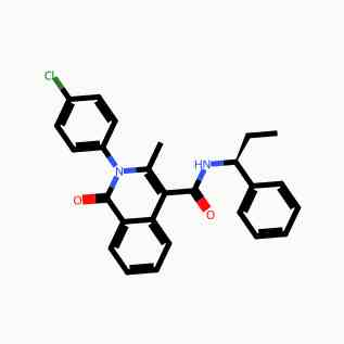 CC[C@H](NC(=O)c1c(C)n(-c2ccc(Cl)cc2)c(=O)c2ccccc12)c1ccccc1